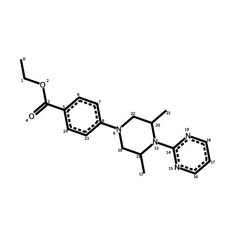 CCOC(=O)c1ccc(N2CC(C)N(c3ncccn3)C(C)C2)cc1